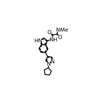 CNC(=O)C(=O)Nc1c[nH]c2ccc(-c3cnn(C4CCCC4)c3)cc12